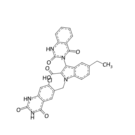 CCc1ccc2c(c1)c(-n1c(=O)[nH]c3ccccc3c1=O)c(C(=O)O)n2Cc1cc2c(=O)[nH]c(=O)[nH]c2cc1Cl